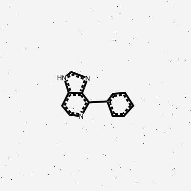 c1ccc(-c2nccc3[nH]cnc23)cc1